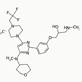 CNCC(O)COc1cccc(-c2nc(N3CCN(CC(F)(F)F)[C@@H](C)C3)cc(N(C)C3CCOCC3)n2)c1